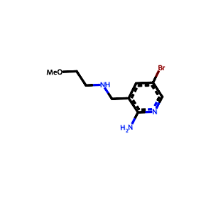 COCCNCc1cc(Br)cnc1N